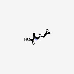 C/C(=C\OCC1CO1)C(=O)O